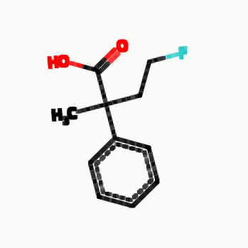 CC(CCF)(C(=O)O)c1ccccc1